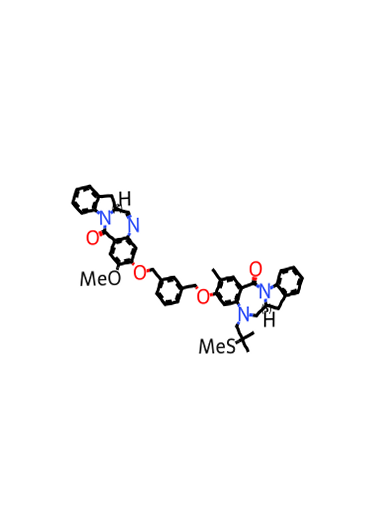 COc1cc2c(cc1OCc1cccc(COc3cc4c(cc3C)C(=O)N3c5ccccc5C[C@H]3CN4CC(C)(C)SC)c1)N=C[C@@H]1Cc3ccccc3N1C2=O